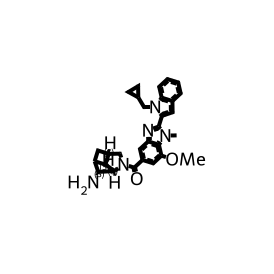 COc1cc(C(=O)N2C[C@H]3CC4[C@H]3[C@H]2[C@H]4N)cc2nc(-c3cc4ccccc4n3CC3CC3)n(C)c12